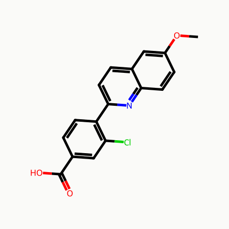 COc1ccc2nc(-c3ccc(C(=O)O)cc3Cl)ccc2c1